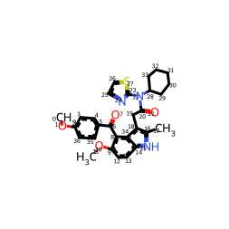 COc1ccc(C(=O)c2c(OC)ccc3[nH]c(C)c(CC(=O)N(c4nccs4)C4CCCCC4)c23)cc1